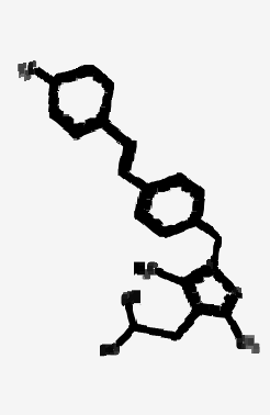 Cc1nn(Cc2ccc(/C=C/c3ccc(C(F)(F)F)cc3)cc2)c(C)c1CC(O)O